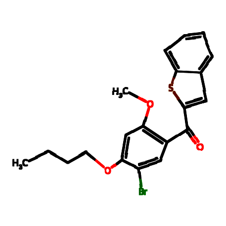 CCCCOc1cc(OC)c(C(=O)c2cc3ccccc3s2)cc1Br